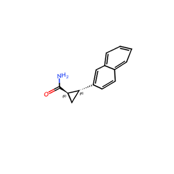 NC(=O)[C@@H]1C[C@H]1c1ccc2ccccc2c1